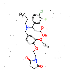 CCCN(Cc1ccc(OCCN2C(=O)CCC2=O)c(OC)c1)C(CC(=O)O)c1ccc(Cl)c(F)c1